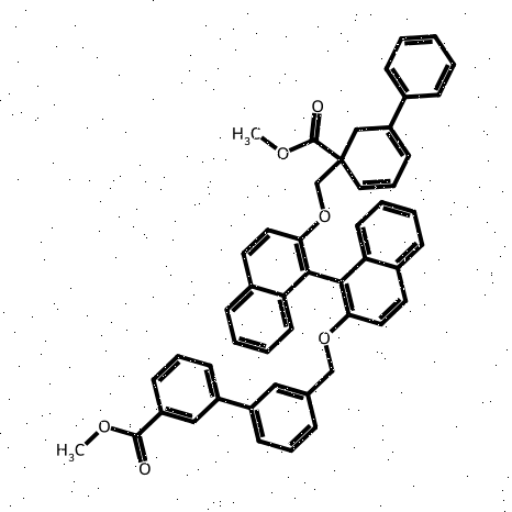 COC(=O)c1cccc(-c2cccc(COc3ccc4ccccc4c3-c3c(OCC4(C(=O)OC)C=CC=C(c5ccccc5)C4)ccc4ccccc34)c2)c1